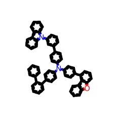 c1ccc(-c2ccccc2-c2ccc(N(c3ccc(-c4cccc(-n5c6ccccc6c6ccccc65)c4)cc3)c3ccc(-c4cccc5oc6ccccc6c45)cc3)cc2)cc1